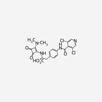 CN(C)c1c(N[C@@H](Cc2ccc(NC(=O)c3c(Cl)cncc3Cl)cc2)C(=O)O)c(=O)c1=O